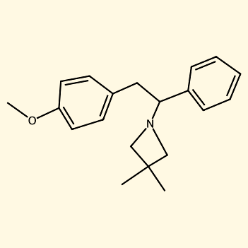 COc1ccc(CC(c2ccccc2)N2CC(C)(C)C2)cc1